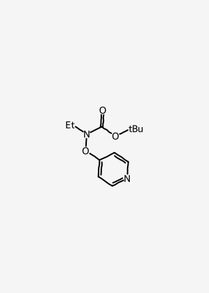 CCN(Oc1ccncc1)C(=O)OC(C)(C)C